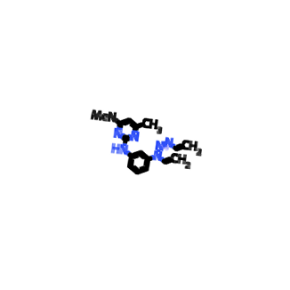 C=C/N=N\N(C=C)c1cccc(Nc2nc(C)cc(NC)n2)c1